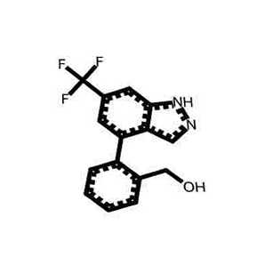 OCc1ccccc1-c1cc(C(F)(F)F)cc2[nH]ncc12